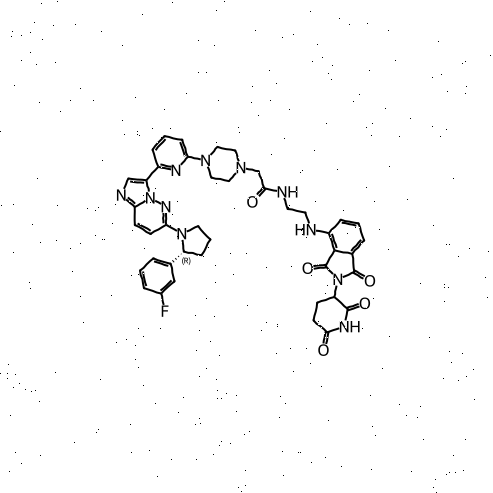 O=C(CN1CCN(c2cccc(-c3cnc4ccc(N5CCC[C@@H]5c5cccc(F)c5)nn34)n2)CC1)NCCNc1cccc2c1C(=O)N(C1CCC(=O)NC1=O)C2=O